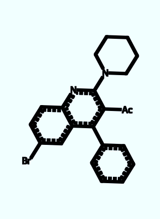 CC(=O)c1c(N2CCCCC2)nc2ccc(Br)cc2c1-c1ccccc1